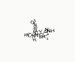 Bc1c(-c2c(C)ccc3[nH]ncc23)c(C)cc2c(N3CCN(C(=O)C=C)C[C@@H]3C)nc(NC3CCN(C4CC4)CC3)nc12